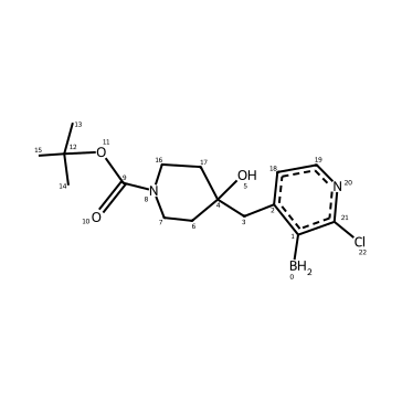 Bc1c(CC2(O)CCN(C(=O)OC(C)(C)C)CC2)ccnc1Cl